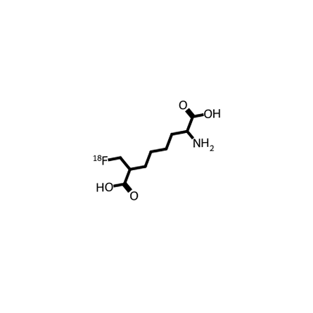 NC(CCCCC(C[18F])C(=O)O)C(=O)O